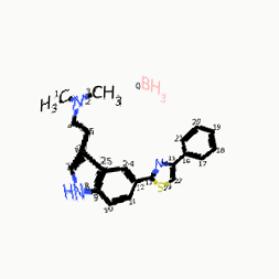 B.CN(C)CCc1c[nH]c2ccc(-c3nc(-c4ccccc4)cs3)cc12